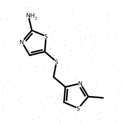 Cc1nc(CSc2cnc(N)s2)cs1